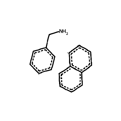 NCc1cc[c]cc1.[c]1cccc2ccccc12